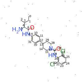 CCC(C)C(N)C(=O)Nc1ccc(C2CCN(C(=O)Nc3c(Cl)cccc3Cl)CC2)cc1